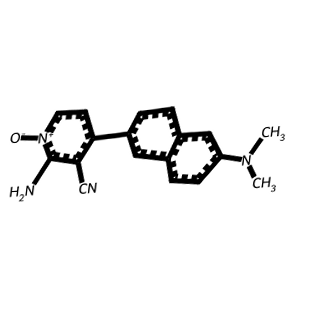 CN(C)c1ccc2cc(-c3cc[n+]([O-])c(N)c3C#N)ccc2c1